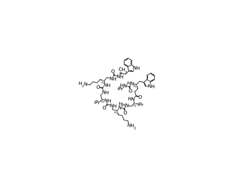 CC(C)NC(=O)N[C@H](CCC(=O)N[C@H](CNC(=O)N[C@@H](CCCCN)CNC(=O)N[C@H](CNC(=O)N[C@@H](CCCCN)CNC(=O)N[C@H](C)Cc1c[nH]c2ccccc12)C(C)C)C(C)C)Cc1c[nH]c2ccccc12